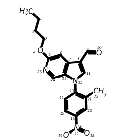 CCCCOc1cc2c(C=O)cn(-c3ccc([N+](=O)[O-])cc3C)c2cn1